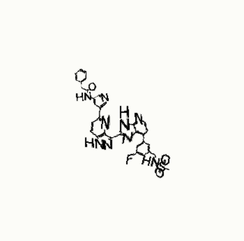 CS(=O)(=O)NCc1cc(F)cc(-c2ccnc3[nH]c(-c4n[nH]c5ccc(-c6cncc(NC(=O)Cc7ccccc7)c6)nc45)nc23)c1